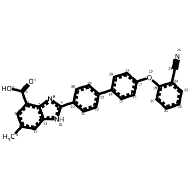 Cc1cc(C(=O)O)c2nc(-c3ccc(-c4ccc(Oc5ccccc5C#N)cc4)cc3)[nH]c2c1